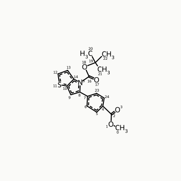 COC(=O)c1ccc(-c2cc3sccc3n2C(=O)OC(C)(C)C)cc1